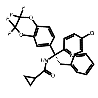 O=C(N[C@@](Cc1ccccc1)(c1ccc2c(c1)OC(F)(F)C(F)(F)O2)c1ccc(Cl)cn1)C1CC1